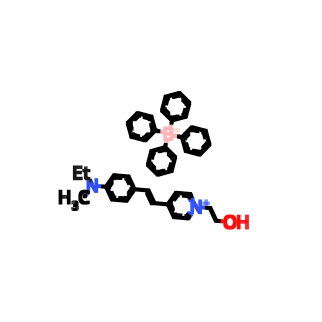 CCN(C)c1ccc(/C=C/c2cc[n+](CCO)cc2)cc1.c1ccc([B-](c2ccccc2)(c2ccccc2)c2ccccc2)cc1